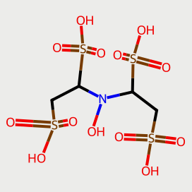 O=S(=O)(O)CC(N(O)C(CS(=O)(=O)O)S(=O)(=O)O)S(=O)(=O)O